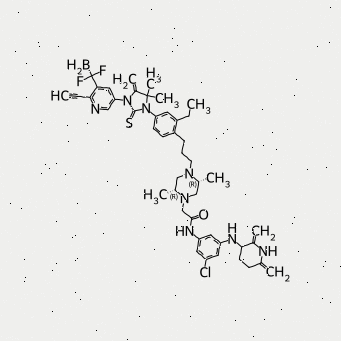 BC(F)(F)c1cc(N2C(=C)C(C)(C)N(c3ccc(CCCN4C[C@@H](C)N(CC(=O)Nc5cc(Cl)cc(NC6CCC(=C)NC6=C)c5)C[C@H]4C)c(CC)c3)C2=S)cnc1C#C